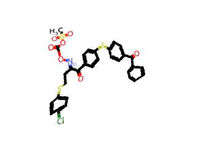 CS(=O)(=O)OC(=O)O/N=C(\CCSc1ccc(Cl)cc1)C(=O)c1ccc(Sc2ccc(C(=O)c3ccccc3)cc2)cc1